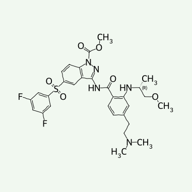 COC[C@@H](C)Nc1cc(CCN(C)C)ccc1C(=O)Nc1nn(C(=O)OC)c2ccc(S(=O)(=O)c3cc(F)cc(F)c3)cc12